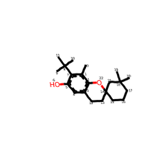 Cc1c2c(cc(O)c1C(C)(C)C)CCC1(CCCC(C)(C)C1)O2